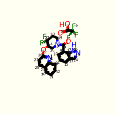 O=C(O)C(F)(F)F.O=C(c1cccc2cn[nH]c12)N1CCC(F)(F)C(Oc2ccc3ccccc3n2)C1